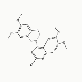 COc1cc2c(cc1OC)CN(c1nc(Cl)nc3cc(OC)c(OC)cc13)CC2